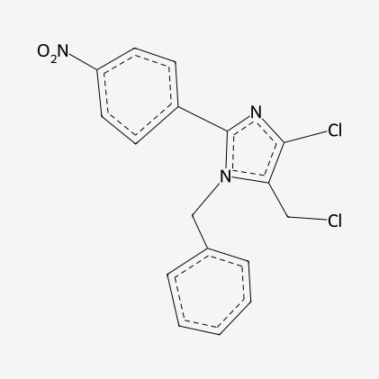 O=[N+]([O-])c1ccc(-c2nc(Cl)c(CCl)n2Cc2ccccc2)cc1